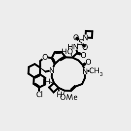 CO[C@H]1/C=C/CCN(C)C(=O)C[C@](O)(C(=O)NS(=O)(=O)N2CCC2)c2ccc3c(c2)N(C[C@@H]2CC[C@H]21)C[C@@]1(CCCc2cc(Cl)ccc21)CO3